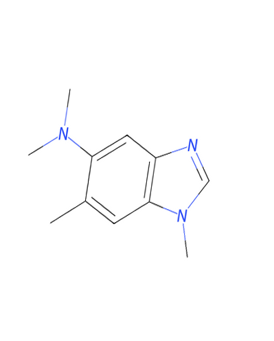 Cc1cc2c(cc1N(C)C)ncn2C